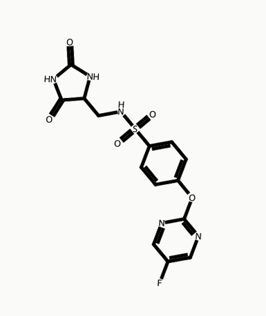 O=C1NC(=O)C(CNS(=O)(=O)c2ccc(Oc3ncc(F)cn3)cc2)N1